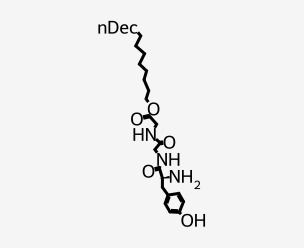 CCCCCCCCCCCCCCCCCCOC(=O)CNC(=O)CNC(=O)[C@@H](N)Cc1ccc(O)cc1